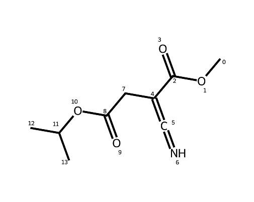 COC(=O)C(=C=N)CC(=O)OC(C)C